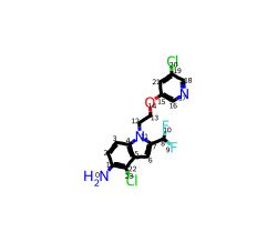 Nc1ccc2c(cc(C(F)F)n2CCOc2cncc(Cl)c2)c1Cl